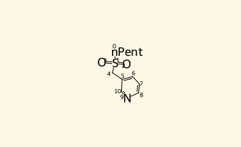 CCCCCS(=O)(=O)Cc1cccnc1